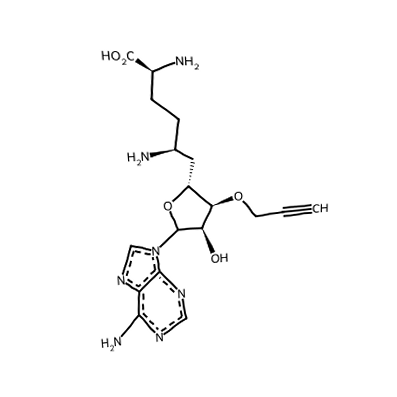 C#CCO[C@@H]1[C@@H](C[C@@H](N)CC[C@H](N)C(=O)O)OC(n2cnc3c(N)ncnc32)[C@@H]1O